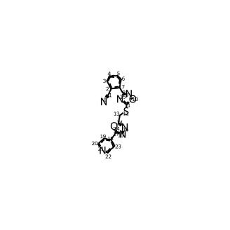 N#Cc1ccccc1-c1noc(SCc2nnc(-c3ccncc3)o2)n1